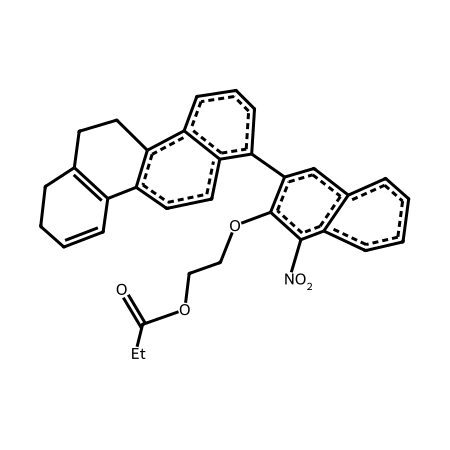 CCC(=O)OCCOc1c(-c2cccc3c4c(ccc23)C2=C(CCC=C2)CC4)cc2ccccc2c1[N+](=O)[O-]